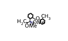 C=C(OC)/C(=N/OC)c1ccccc1COc1ccccc1C